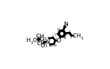 C/C=C/c1cc(OC2CCN(C(=O)OC(C)(C)C)CC2)ccc1C#N